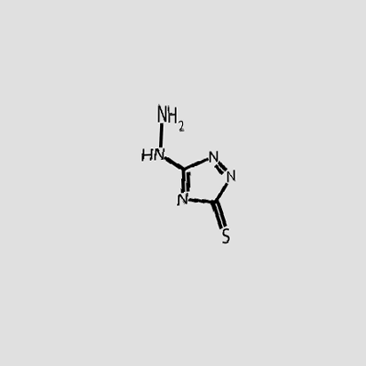 NNC1=NC(=S)N=N1